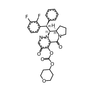 O=C(Oc1c2n(ncc1=O)[C@@H]([C@H](c1ccccc1)c1cccc(F)c1F)[C@H]1CCCN1C2=O)OC1CCOCC1